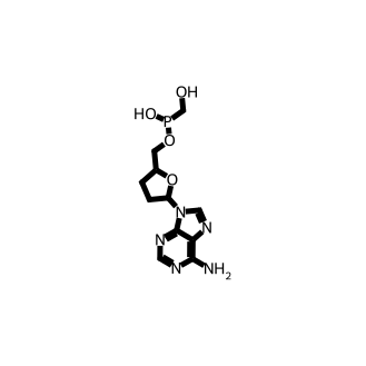 Nc1ncnc2c1ncn2C1CCC(COP(O)CO)O1